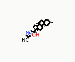 C[C@@H]1CCC2CC[C@@H]3C(CC[C@@]4(C)C3CC[C@@H]4[C@](C)(O)Cn3cc(C#N)cn3)[C@@]2(C)CC1